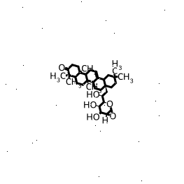 CC1(C)CC[C@]2(C[C@@H](O)[C@@H]3OC4O[C@@H]4C(O)[C@@H]3O)CCC3C(=CCC4[C@@]3(C)CCC3C(C)(C)C(=O)CC[C@@]34C)C2C1